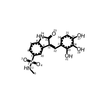 CNS(=O)(=O)c1ccc2c(c1)C(=Cc1ccc(O)c(O)c1O)C(=O)N2